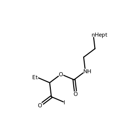 CCCCCCCCCNC(=O)OC(CC)C(=O)I